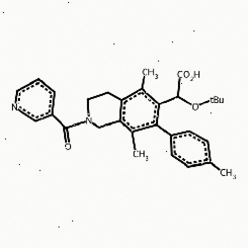 Cc1ccc(-c2c(C)c3c(c(C)c2C(OC(C)(C)C)C(=O)O)CCN(C(=O)c2cccnc2)C3)cc1